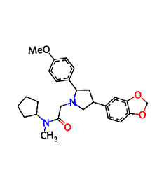 COc1ccc(C2CC(c3ccc4c(c3)OCO4)CN2CC(=O)N(C)C2CCCC2)cc1